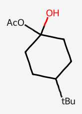 CC(=O)OC1(O)CCC(C(C)(C)C)CC1